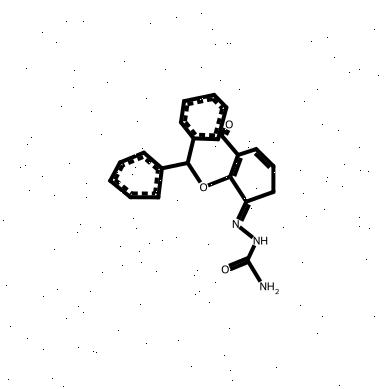 NC(=O)NN=C1CC=CC(C=O)=C1OC(c1ccccc1)c1ccccc1